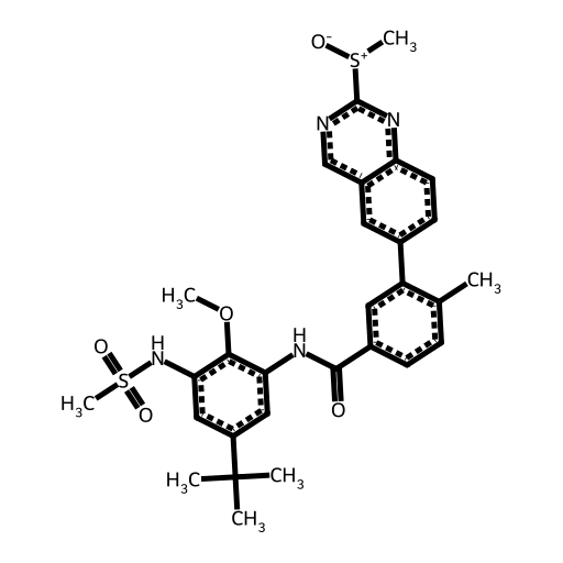 COc1c(NC(=O)c2ccc(C)c(-c3ccc4nc([S+](C)[O-])ncc4c3)c2)cc(C(C)(C)C)cc1NS(C)(=O)=O